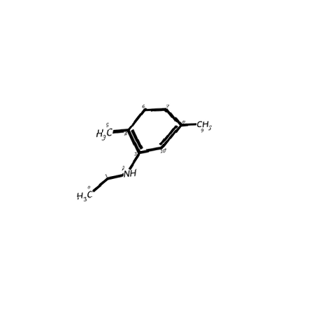 CCNC1=C(C)CCC(C)=C1